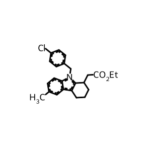 CCOC(=O)CC1CCCc2c1n(Cc1ccc(Cl)cc1)c1ccc(C)cc21